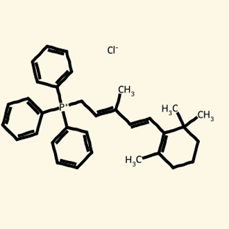 CC1=C(/C=C/C(C)=C/C[P+](c2ccccc2)(c2ccccc2)c2ccccc2)C(C)(C)CCC1.[Cl-]